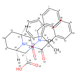 CN(Cc1ccccc1)C(=O)N1[C@H]2CCC[C@@H]1[C@@H](C(=O)O)N(C(=O)C(C)(c1ccccc1)c1ccccc1)C2